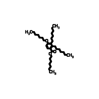 CCCCCCCOC(=O)c1ccc(OCCCCCCC)c(CCCCCCC)c1CCCCCCC